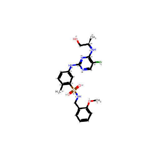 COc1ccccc1CNS(=O)(=O)c1cc(Nc2ncc(Br)c(N[C@H](C)CO)n2)ccc1C